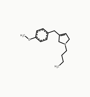 CCCCN1CC=C(Cc2ccc(OC)cc2)C1